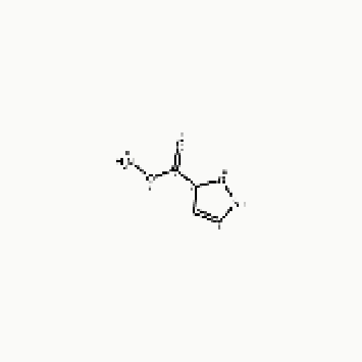 NOC(=O)C1C=CSO1